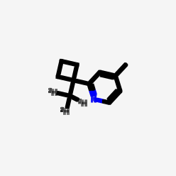 [2H]C([2H])([2H])C1(c2cc(C)ccn2)CCC1